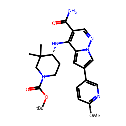 COc1ccc(-c2cc3c(N[C@@H]4CCN(C(=O)OC(C)(C)C)CC4(C)C)c(C(N)=O)cnn3c2)cn1